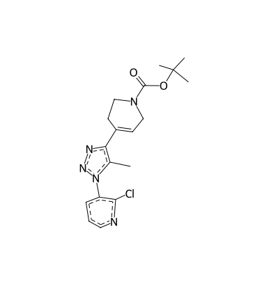 Cc1c(C2=CCN(C(=O)OC(C)(C)C)CC2)nnn1-c1cccnc1Cl